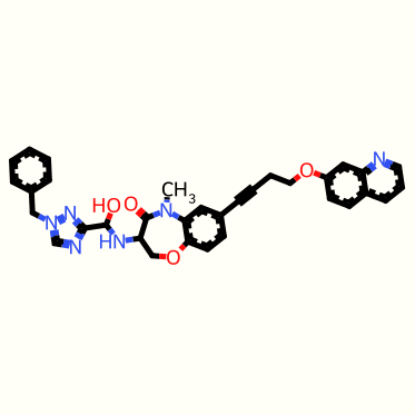 CN1C(=O)C(NC(O)c2ncn(Cc3ccccc3)n2)COc2ccc(C#CCCOc3ccc4cccnc4c3)cc21